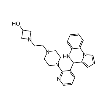 OC1CN(CCN2CCN(c3ncccc3C3Nc4ccccc4-n4cccc43)CC2)C1